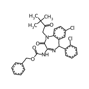 CC(C)(C)C(=O)CN1C(=O)C(NC(=O)OCc2ccccc2)=NC(c2ccccc2Cl)c2cc(Cl)ccc21